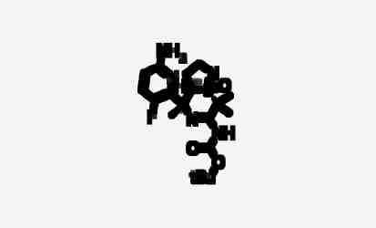 CC(C)(C)OC(=O)NC1=N[C@](C)(c2nc(N)ccc2F)[C@@H]2CCN=[S@]2(=O)C1(C)C